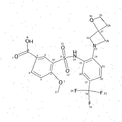 COc1ccc(C(=O)O)cc1S(=O)(=O)Nc1cc(C(F)(F)F)ccc1N1CC2(CCO2)C1